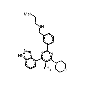 CNCCNCc1cccc(-c2nc(-c3cccc4[nH]ncc34)c(C)c(N3CCOCC3)n2)c1